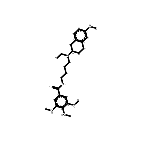 CCN(CCCCOC(=O)c1cc(OC)c(OC)c(OC)c1)C1CCc2cc(OC)ccc2C1